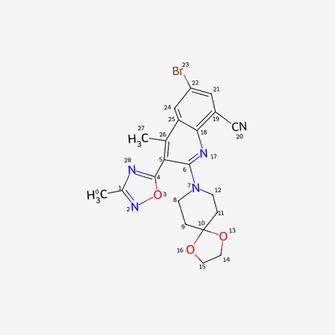 Cc1noc(-c2c(N3CCC4(CC3)OCCO4)nc3c(C#N)cc(Br)cc3c2C)n1